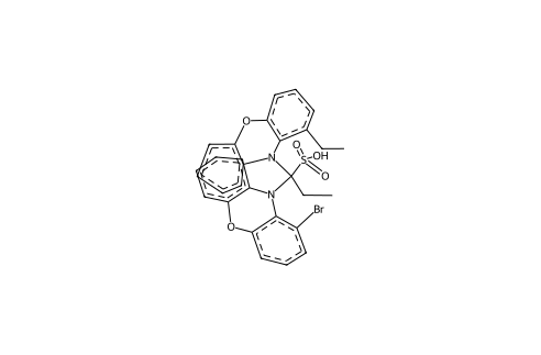 CCc1cccc2c1N(C(CC)(N1c3ccccc3Oc3cccc(Br)c31)S(=O)(=O)O)c1ccccc1O2